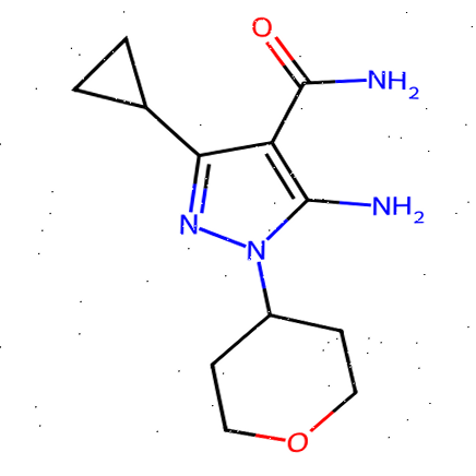 NC(=O)c1c(C2CC2)nn(C2CCOCC2)c1N